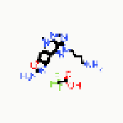 CN(C)c1ncnc2c1c(-c1ccc3oc(N)nc3c1)nn2CCCCN.O=C(O)C(F)(F)F